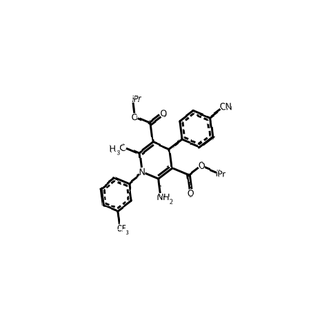 CC1=C(C(=O)OC(C)C)C(c2ccc(C#N)cc2)C(C(=O)OC(C)C)=C(N)N1c1cccc(C(F)(F)F)c1